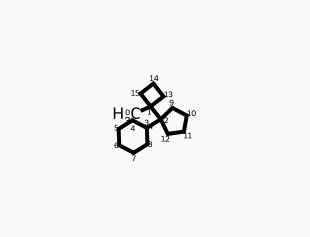 CC1(C2([C]3CCCCC3)CCCC2)CCC1